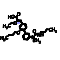 CCCCNC(=O)N(C)c1cccc(-c2ccc(/C=C(\OCC)C(=O)O)cc2OCCCC)c1